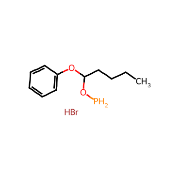 Br.CCCCC(OP)Oc1ccccc1